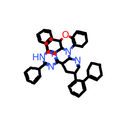 C1=CCC(C2=NC(C3CC(c4ccccc4C4=CCCCC4)C=NC3N3C4=C(C=CCC4)OC4C=CC=CC43)=NC(c3ccccc3)N2)C=C1